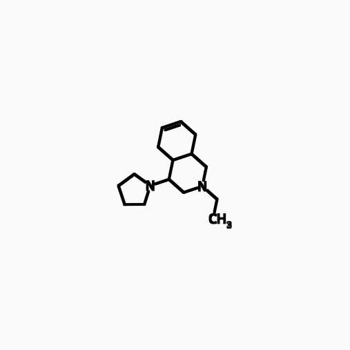 CCN1CC2CC=CCC2C(N2CCCC2)C1